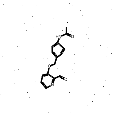 CC(=O)Nc1ccc(COc2cccnc2C=O)cc1